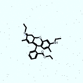 CC/N=C1\CC2Oc3cc(NCC)c(C)cc3C(c3ccccc3C(=O)OCC)=C2C=C1C